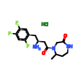 CC1CCNC(=O)CN1C(=O)CC(N)Cc1cc(F)c(F)cc1F.Cl